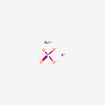 O=P([O-])([O-])[O-].[K+].[Ru+3]